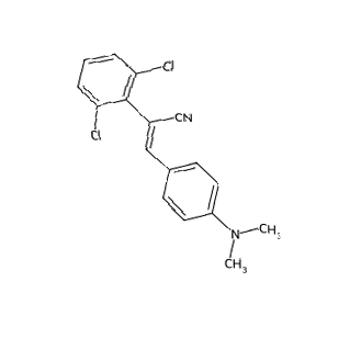 CN(C)c1ccc(/C=C(\C#N)c2c(Cl)cccc2Cl)cc1